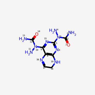 NC(=O)N(N)c1nc2c(c(N(N)C(N)=O)n1)N=CCN2